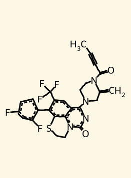 C=C1CN(c2nc(=O)n3c4c(c(-c5ccc(F)cc5F)c(C(F)(F)F)cc24)SCC3)CCN1C(=O)C#CC